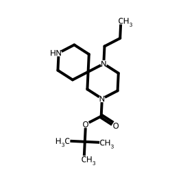 CCCN1CCN(C(=O)OC(C)(C)C)CC12CCNCC2